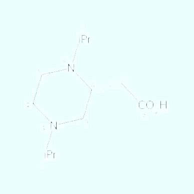 CC(C)N1CCN(C(C)C)[C@H](CC(=O)O)C1